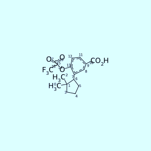 CC1(C)CCCC1c1cc(C(=O)O)ccc1OS(=O)(=O)C(F)(F)F